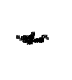 Cc1ccnc(N2CC3(CC(c4nnc5n4-c4ccc(Cl)cc4CN(C(C)(C)C(F)(F)F)C5)C3)C2)c1